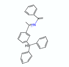 C=C(/N=C(\C)c1cccc([SiH](c2ccccc2)c2ccccc2)c1)c1ccccc1